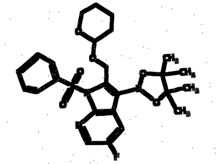 CC1(C)OB(c2c(COC3CCCCO3)n(S(=O)(=O)c3ccccc3)c3ncc(F)cc23)OC1(C)C